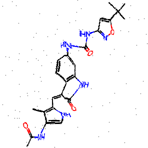 CC(=O)Nc1c[nH]c(C=C2C(=O)Nc3cc(NC(=O)Nc4cc(C(C)(C)C)on4)ccc32)c1C